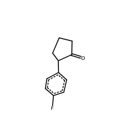 O=C1CCCC1c1ccc(F)cc1